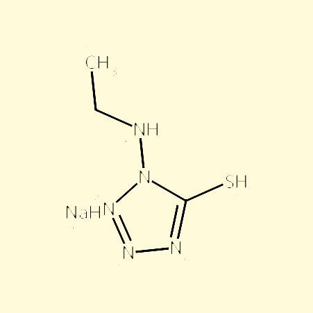 CCNn1nnnc1S.[NaH]